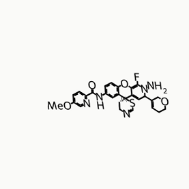 COc1ccc(C(=O)Nc2ccc3c(c2)[C@@]2(CCN=CS2)C2=CC(C4=CCCOC4)N(N)C(F)=C2O3)nc1